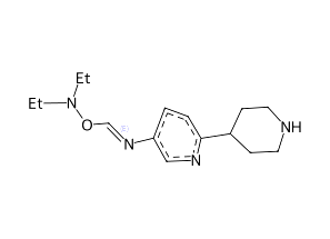 CCN(CC)O/C=N/c1ccc(C2CCNCC2)nc1